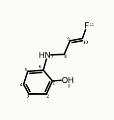 Oc1ccccc1NCC=CF